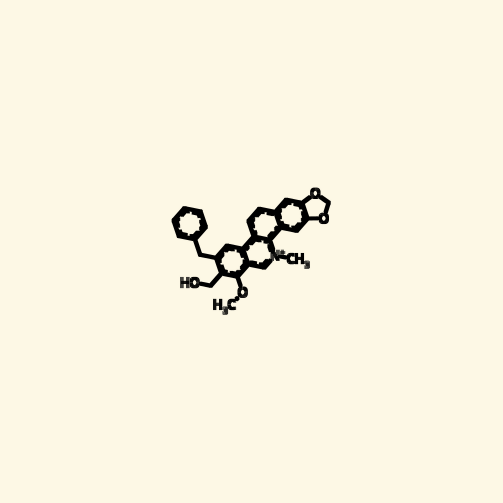 COc1c(CO)c(Cc2ccccc2)cc2c1c[n+](C)c1c3cc4c(cc3ccc21)OCO4